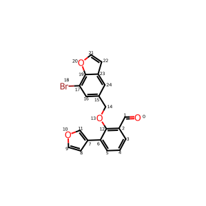 O=Cc1cccc(-c2ccoc2)c1OCc1cc(Br)c2occc2c1